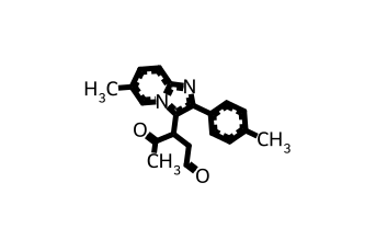 CC(=O)C(CC=O)c1c(-c2ccc(C)cc2)nc2ccc(C)cn12